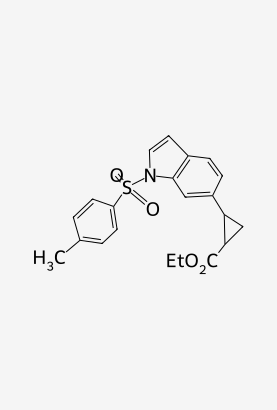 CCOC(=O)C1CC1c1ccc2ccn(S(=O)(=O)c3ccc(C)cc3)c2c1